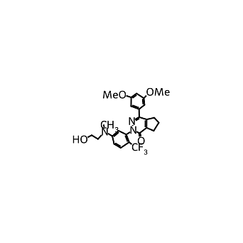 COc1cc(OC)cc(-c2nn(-c3cc(N(C)CCO)ccc3C(F)(F)F)c(=O)c3c2CCC3)c1